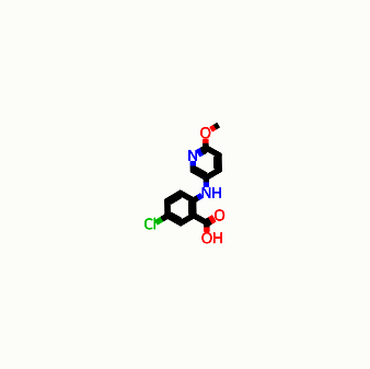 COc1ccc(Nc2ccc(Cl)cc2C(=O)O)cn1